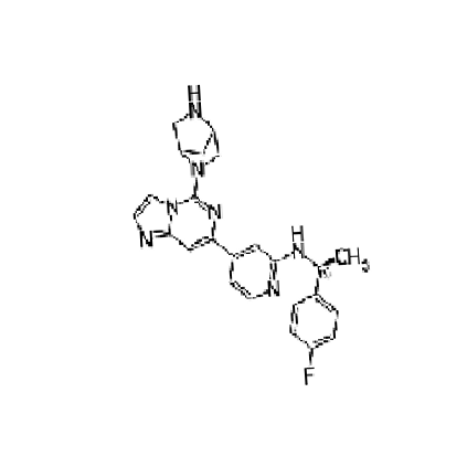 C[C@H](Nc1cc(-c2cc3nccn3c(N3CC4CC3CN4)n2)ccn1)c1ccc(F)cc1